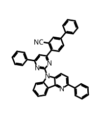 N#Cc1cc(-c2ccccc2)ccc1-c1cc(-c2ccccc2)nc(-n2c3ccccc3c3nc(-c4ccccc4)ccc32)n1